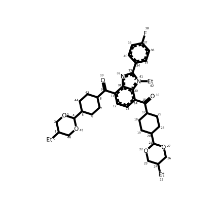 CCC1COC(C2CCC(C(=O)c3ccc(C(=O)C4CCC(C5OCC(CC)CO5)CC4)c4c3nc(-c3ccc(F)cc3)n4CC)CC2)OC1